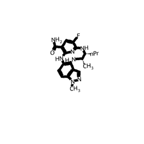 CCC[C@@H](Nc1nc(Nc2ccc3c(cnn3C)c2)c(C(N)=O)cc1F)[C@H](C)N